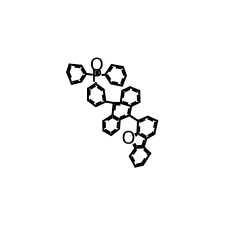 O=P(c1ccccc1)(c1ccccc1)c1cccc(-c2c3ccccc3c(-c3cccc4c3oc3ccccc34)c3ccccc23)c1